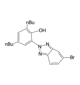 CCCCc1cc(CCCC)c(O)c(-n2nc3ccc(Br)cc3n2)c1